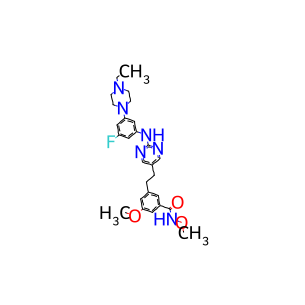 CCN1CCN(c2cc(F)cc(Nc3ncc(CCc4cc(OC)cc(C(=O)NOC)c4)cn3)c2)CC1